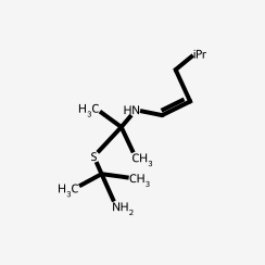 CC(C)C/C=C\NC(C)(C)SC(C)(C)N